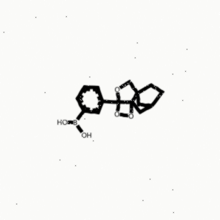 OB(O)c1cccc(C23OCC45CCC(C4)CC52OO3)c1